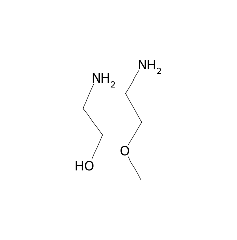 COCCN.NCCO